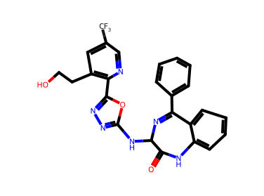 O=C1Nc2ccccc2C(c2ccccc2)=NC1Nc1nnc(-c2ncc(C(F)(F)F)cc2CCO)o1